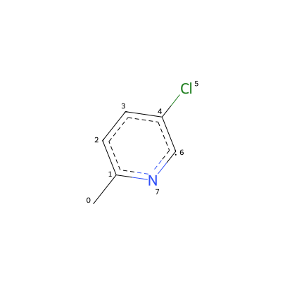 Cc1ccc(Cl)[c]n1